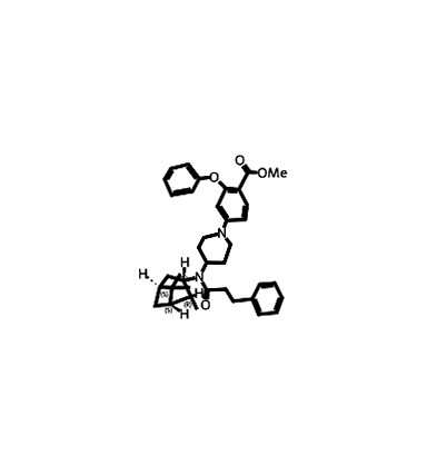 COC(=O)c1ccc(N2CCC(N(C(=O)CCc3ccccc3)[C@H]3C[C@@H]4C[C@@H]([C@H]3C)C4(C)C)CC2)cc1Oc1ccccc1